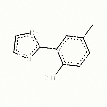 Cc1ccc([N+](=O)[O-])c(-c2ncc[nH]2)c1